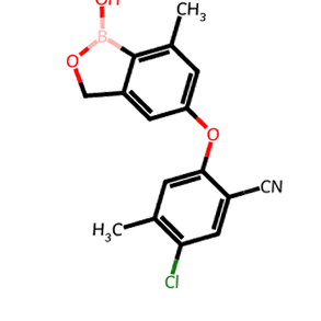 Cc1cc(Oc2cc(C)c3c(c2)COB3O)c(C#N)cc1Cl